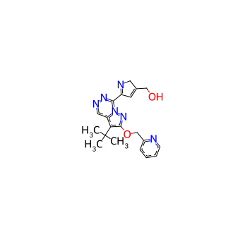 CC(C)(C)c1c(OCc2ccccn2)nn2c(C3=NCC(CO)=C3)nncc12